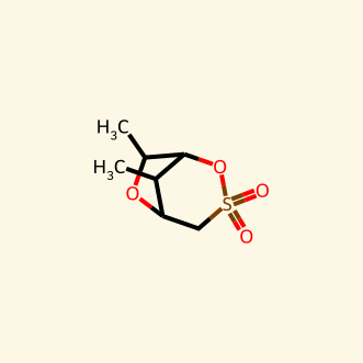 CC1OC2CS(=O)(=O)OC1C2C